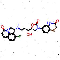 O=C1CSc2ccc(N3C[C@@H]([C@H](O)CCN[C@@H]4Cn5c(=O)ccc6ccc(F)c4c65)OC3=O)cc2N1